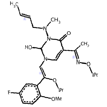 C/C=C/CN(C)N1C(=O)C(/C(C)=N/OC(C)C)=CN(/C=C(\OC(C)C)c2cc(F)ccc2OC)C1O